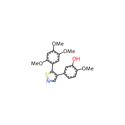 COc1ccc(-c2cnsc2-c2cc(OC)c(OC)cc2OC)cc1O